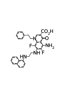 Nc1c(F)c(NCCNc2cccc3ccccc23)c(F)c2c1c(=O)c(C(=O)O)cn2CCc1ccccc1